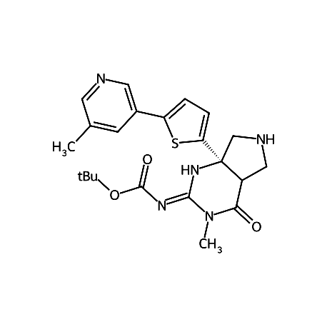 Cc1cncc(-c2ccc([C@]34CNCC3C(=O)N(C)/C(=N/C(=O)OC(C)(C)C)N4)s2)c1